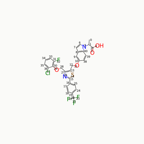 CC(C(=O)O)n1ccc2cc(OCc3sc(-c4ccc(C(F)(F)F)cc4)nc3COc3c(F)cccc3Cl)ccc21